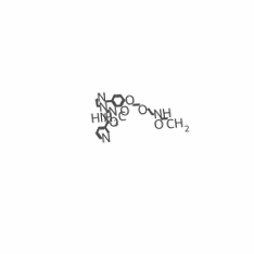 C=CC(=O)NCCOCCOc1ccc2c(c1OC)N=C(NC(=O)c1cccnc1)N1CCN=C21